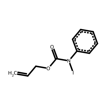 C=CCOC(=O)N(I)c1ccccc1